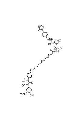 COc1cc(N2C(=O)C(C)(C)N(c3ccc(OCCCCCOCCCOCC(=O)N[C@H](CN4C[C@H](C)C[C@H]4C(O)NCc4ccc(-c5scnc5C)cc4)C(C)(C)C)cc3)C2=S)ccc1C#N